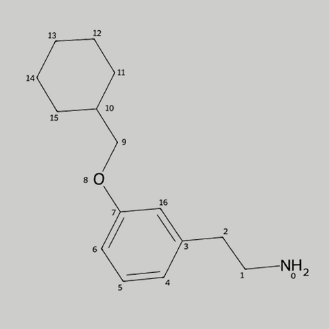 NCCc1cccc(OCC2CCCCC2)c1